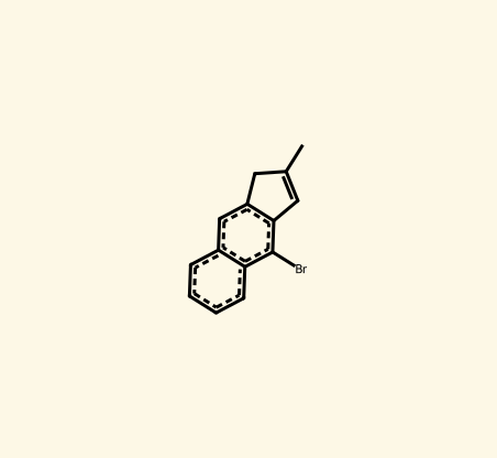 CC1=Cc2c(cc3ccccc3c2Br)C1